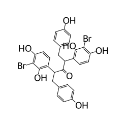 O=C(C(Cc1ccc(O)cc1)c1ccc(O)c(Br)c1O)C(Cc1ccc(O)cc1)c1ccc(O)c(Br)c1O